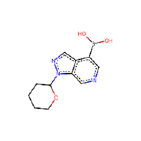 OB(O)c1cncc2c1cnn2C1CCCCO1